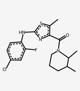 Cc1sc(Nc2ccc(Cl)cc2F)nc1C(=O)N1CCCC(C)C1C